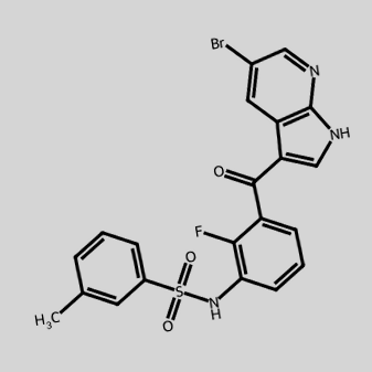 Cc1cccc(S(=O)(=O)Nc2cccc(C(=O)c3c[nH]c4ncc(Br)cc34)c2F)c1